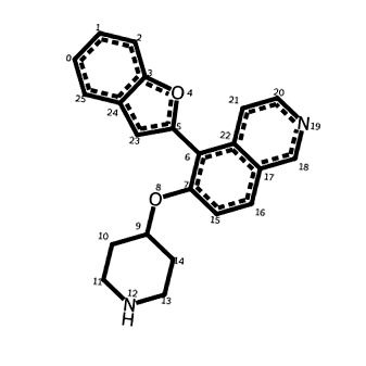 c1ccc2oc(-c3c(OC4CCNCC4)ccc4cnccc34)cc2c1